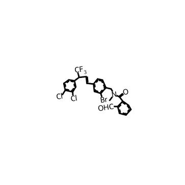 CN(Cc1ccc(/C=C/C(c2ccc(Cl)c(Cl)c2)C(F)(F)F)cc1Br)C(=O)c1ccccc1C=O